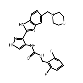 O=C(NCc1c(F)cccc1F)Nc1c[nH]nc1-c1nc2cc(CN3CCOCC3)ccc2[nH]1